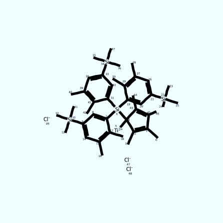 CC1=C(C)[C]([Ti+3])([Si](c2cc([Si](C)(C)C)cc(C)c2C)(c2cc([Si](C)(C)C)cc(C)c2C)c2cc([Si](C)(C)C)cc(C)c2C)C(C)=C1C.[Cl-].[Cl-].[Cl-]